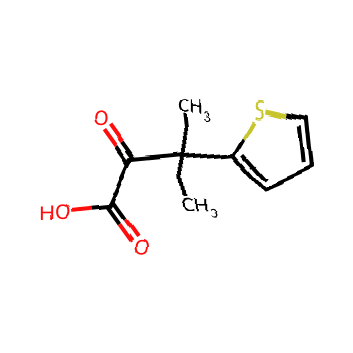 CC(C)(C(=O)C(=O)O)c1cccs1